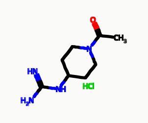 CC(=O)N1CCC(NC(=N)N)CC1.Cl